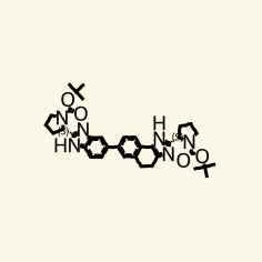 CC(C)(C)OC(=O)N1CCC[C@H]1c1nc2c([nH]1)-c1ccc(-c3ccc4[nH]c([C@@H]5CCCN5C(=O)OC(C)(C)C)nc4c3)cc1CC2